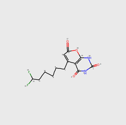 O=c1[nH]c(=O)c2c(CCCCCC(F)F)cc(=O)oc2[nH]1